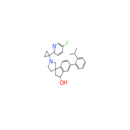 CC(C)c1ccccc1-c1ccc2c(c1)C(O)CC21CCN(C2(c3ccc(F)cn3)CC2)C1